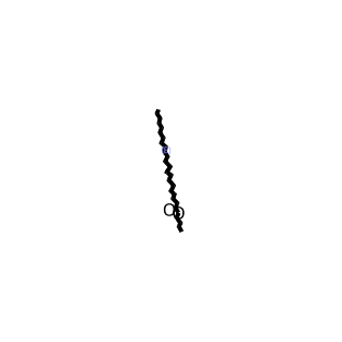 CCCCCCCC/C=C/CCCCCCCCCCCC(=O)OCCCC